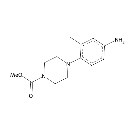 COC(=O)N1CCN(c2ccc(N)cc2C)CC1